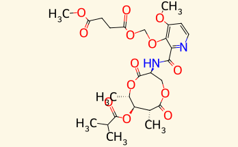 COC(=O)CCC(=O)OCOc1c(OC)ccnc1C(=O)N[C@H]1COC(=O)[C@H](C)[C@@H](OC(=O)C(C)C)[C@H](C)OC1=O